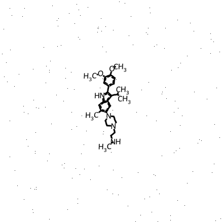 CNCCN1CCN(c2cc3c(C(C)C)c(-c4ccc(OC)c(OC)c4)[nH]c3cc2C)CC1